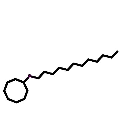 CCCCCCCCCCCC[P]C1CCCCCCC1